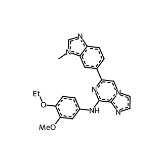 CCOc1ccc(Nc2nc(-c3ccc4ncn(C)c4c3)cn3ccnc23)cc1OC